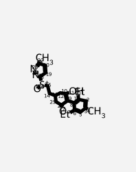 CCc1cc(C)cc(CC)c1C1=C(O)CC(CC[S+]([O-])c2ccc(C)nn2)CC1=O